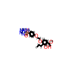 CCCc1c(OCCOc2ccc(S(=O)(=O)c3nnn[nH]3)cc2)ccc(C(C)=O)c1O